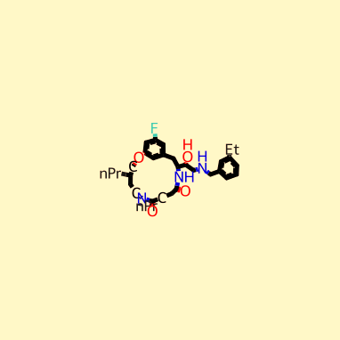 CCCC1CCN(CCC)C(=O)CCC(=O)NC(C(O)CNCc2cccc(CC)c2)Cc2cc(F)cc(c2)OC1